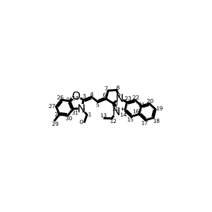 CCN1C(=CC=C2CCn3c2[n+](CC)c2cc4ccccc4cc23)Oc2ccc(C)cc21